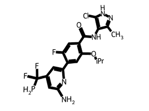 Cc1n[nH]c(Cl)c1NC(=O)c1cc(F)c(-c2cc(C(F)(F)P)cc(N)n2)cc1OC(C)C